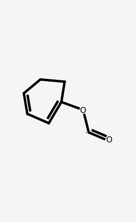 O=[C]OC1=CC=CCC1